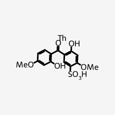 COc1ccc(C(=O)c2cc(S(=O)(=O)O)c(OC)cc2O)c(O)c1.[Th]